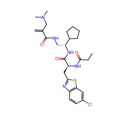 C=C(CN(C)C)C(=O)NC[C@@H](NC(=O)[C@H](Cc1nc2ccc(Cl)cc2s1)NC(=O)CC)C1CCCC1